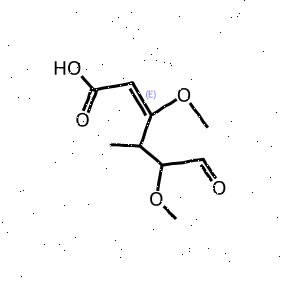 CO/C(=C/C(=O)O)C(C)C(C=O)OC